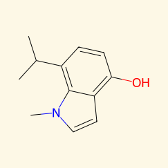 CC(C)c1ccc(O)c2ccn(C)c12